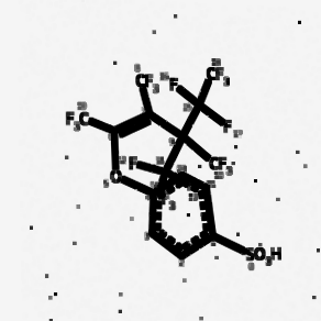 O=S(=O)(O)c1ccc(OC(=C(C(F)(F)F)C(C(F)(F)F)(C(F)(F)C(F)(F)F)C(F)(F)C(F)(F)F)C(F)(F)F)cc1